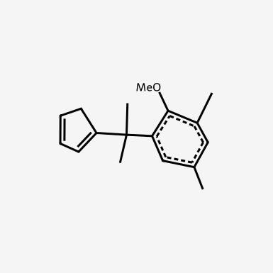 COc1c(C)cc(C)cc1C(C)(C)C1=CC=CC1